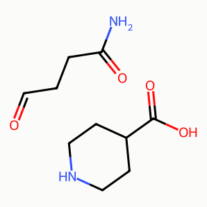 NC(=O)CCC=O.O=C(O)C1CCNCC1